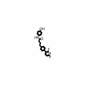 O=C(CCCc1ccc(-c2ccc(F)nc2F)cc1)Nc1ccc(O)cc1